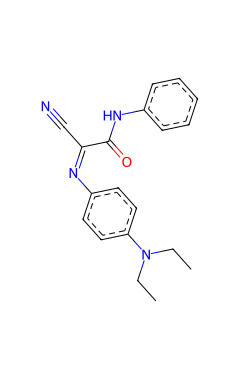 CCN(CC)c1ccc(N=C(C#N)C(=O)Nc2ccccc2)cc1